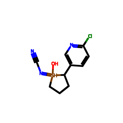 N#CN=[SH]1(O)CCCC1c1ccc(Cl)nc1